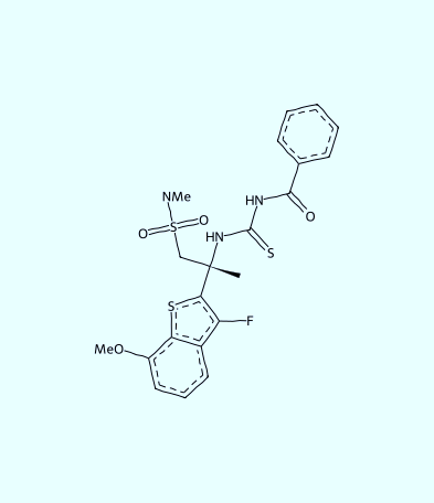 CNS(=O)(=O)C[C@](C)(NC(=S)NC(=O)c1ccccc1)c1sc2c(OC)cccc2c1F